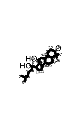 CC(C)=CCC[C@@](C)(O)C1CC[C@]2(C)C1[C@H](O)CC1[C@@]3(C)CCC(=O)C(C)(C)C3CC[C@]12C